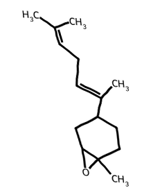 CC(C)=CCC=C(C)C1CCC2(C)OC2C1